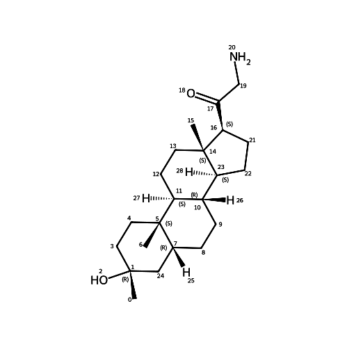 C[C@@]1(O)CC[C@@]2(C)[C@H](CC[C@@H]3[C@@H]2CC[C@]2(C)[C@@H](C(=O)CN)CC[C@@H]32)C1